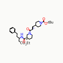 CCOC(=O)CC(CCc1ccccc1)NC(=O)[C@@H]1CCCN(C(=O)/C=C/C2CCN(C(=O)OC(C)(C)C)CC2)C1